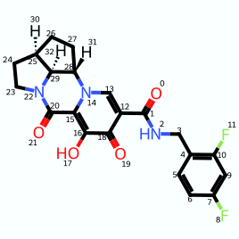 O=C(NCc1ccc(F)cc1F)c1cn2c(c(O)c1=O)C(=O)N1CC[C@H]3CC[C@H]2[C@H]31